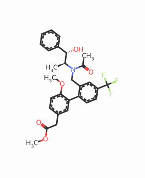 COC(=O)Cc1ccc(OC)c(-c2ccc(C(F)(F)F)cc2CN(C(C)=O)[C@@H](C)[C@@H](O)c2ccccc2)c1